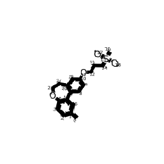 Cc1ccc2c(c1)-c1ccc(OCCCS(C)(=O)=O)cc1CCO2